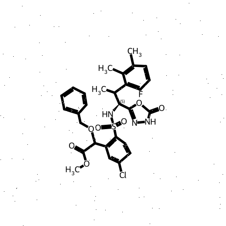 COC(=O)C(OCc1ccccc1)c1cc(Cl)ccc1S(=O)(=O)N[C@H](c1n[nH]c(=O)o1)C(C)c1c(F)ccc(C)c1C